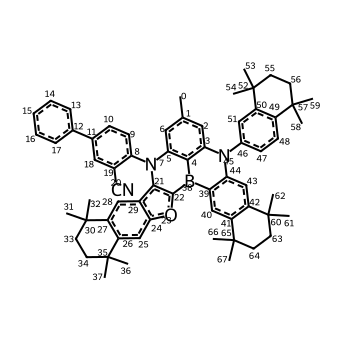 Cc1cc2c3c(c1)N(c1ccc(-c4ccccc4)cc1C#N)c1c(oc4cc5c(cc14)C(C)(C)CCC5(C)C)B3c1cc3c(cc1N2c1ccc2c(c1)C(C)(C)CCC2(C)C)C(C)(C)CCC3(C)C